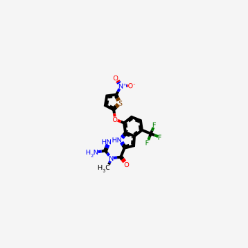 CN(C(=N)N)C(=O)c1cc2c(C(F)(F)F)ccc(Oc3ccc([N+](=O)[O-])s3)c2[nH]1